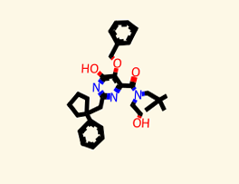 CC(C)(C)CN(CCO)C(=O)c1nc(CC2(c3ccccc3)CCCC2)nc(O)c1OCc1ccccc1